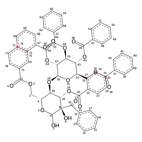 O=C(OC[C@H]1OC(O)[C@@](O)(C(=O)c2ccccc2)[C@@H](OC(=O)c2ccccc2)[C@@H]1O[C@@H]1O[C@H](COC(=O)c2ccccc2)[C@@H](OC(=O)c2ccccc2)[C@H](OC(=O)c2ccccc2)[C@H]1OC(=O)c1ccccc1)c1ccccc1